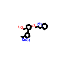 Cc1n[nH]c2ccc(-c3cc(OC[C@@H](N)Cc4ccccc4)ccc3CO)cc12